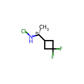 C[C@@H](NCl)C1CC(F)(F)C1